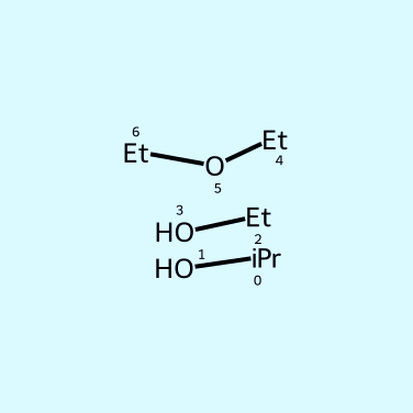 CC(C)O.CCO.CCOCC